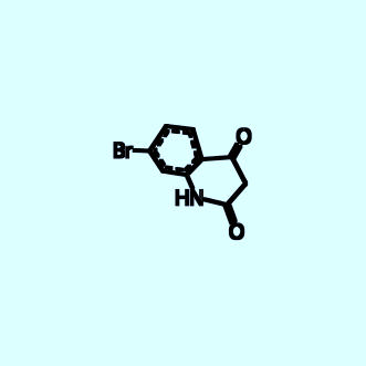 O=C1CC(=O)c2ccc(Br)cc2N1